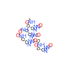 CC(=O)NCc1ccc(-c2ccc3ncc(N4CCOCC4)nc3c2)cc1.CC(=O)NCc1cccc(-c2ccc3ncc(N4CCOCC4)nc3c2)c1.O=C(NC1CC1)c1cccc(-c2ccc3ncc(N4CCOCC4)nc3c2)c1.O=C(Nc1ccccc1)c1cccc(-c2ccc3ncc(N4CCOCC4)nc3c2)c1